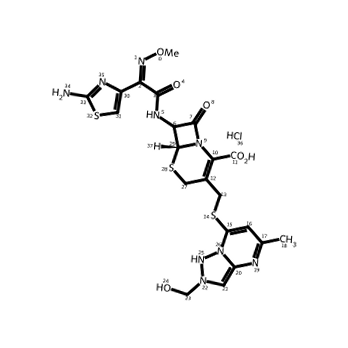 CO/N=C(\C(=O)NC1C(=O)N2C(C(=O)O)=C(CSC3=CC(C)=NC4=CN(CO)NN43)CS[C@H]12)c1csc(N)n1.Cl